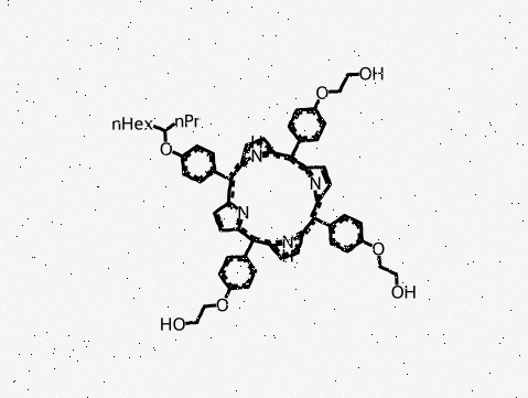 CCCCCCC(CCC)Oc1ccc(-c2c3nc(c(-c4ccc(OCCO)cc4)c4ccc([nH]4)c(-c4ccc(OCCO)cc4)c4nc(c(-c5ccc(OCCO)cc5)c5ccc2[nH]5)C=C4)C=C3)cc1